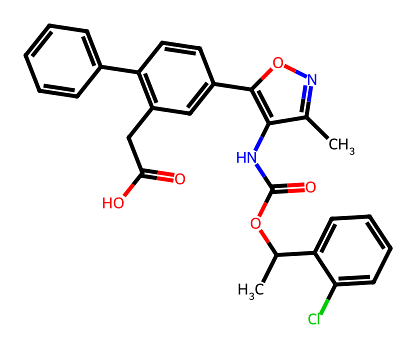 Cc1noc(-c2ccc(-c3ccccc3)c(CC(=O)O)c2)c1NC(=O)OC(C)c1ccccc1Cl